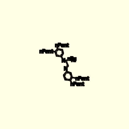 CCCCCc1ccc(N=CC(CCCC)=Nc2ccc(CCCCC)c(CCCCC)c2)cc1CCCCC.[Ni]